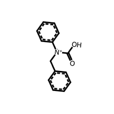 O=C(O)[N+](Cc1ccccc1)c1ccccc1